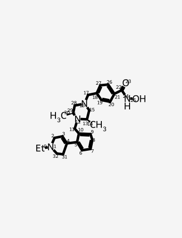 CCN1CC=C(c2ccccc2CN2[C@H](C)CN(Cc3ccc(C(=O)NO)cc3)C[C@@H]2C)CC1